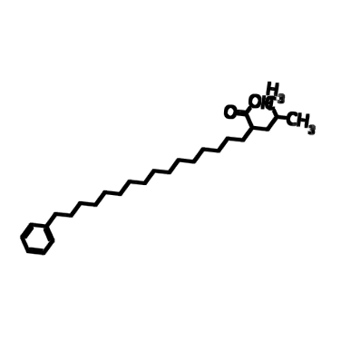 CC(C)CC(CCCCCCCCCCCCCCCCc1ccccc1)C(=O)O